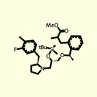 COC(=O)C(C)Cc1ccccc1[C@@H](C)OC[C@H](CN1CCC[C@H]1Cc1ccc(C)c(F)c1)O[Si](C)(C)C(C)(C)C